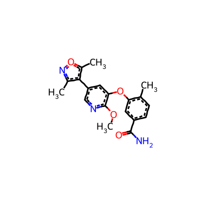 COc1ncc(-c2c(C)noc2C)cc1Oc1cc(C(N)=O)ccc1C